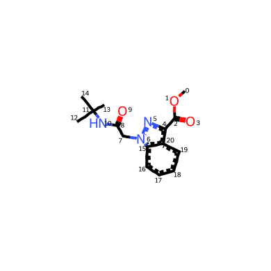 COC(=O)c1nn(CC(=O)NC(C)(C)C)c2ccccc12